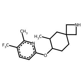 Cc1nc(OC2CCC3(CNC3)CC2C)ccc1C(F)(F)F